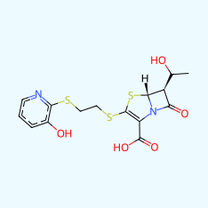 CC(O)[C@H]1C(=O)N2C(C(=O)O)=C(SCCSc3ncccc3O)S[C@H]12